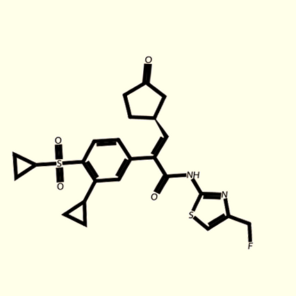 O=C1CC[C@H](/C=C(/C(=O)Nc2nc(CF)cs2)c2ccc(S(=O)(=O)C3CC3)c(C3CC3)c2)C1